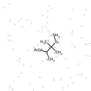 CC(=O)OC(C)C(C)(C)O[SiH3]